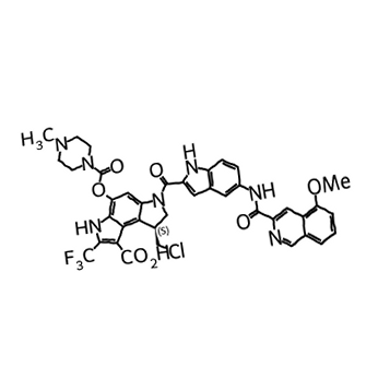 COc1cccc2cnc(C(=O)Nc3ccc4[nH]c(C(=O)N5C[C@@H](CCl)c6c5cc(OC(=O)N5CCN(C)CC5)c5[nH]c(C(F)(F)F)c(C(=O)O)c65)cc4c3)cc12